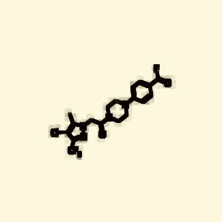 Cc1c(Cl)c(C(F)(F)F)nn1CC(=O)N1CCN(c2ccc(C(=O)F)cc2)CC1